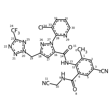 Cc1cc(C#N)cc(C(=O)NCC#N)c1NC(=O)c1cc(Cn2nnc(C(F)(F)F)n2)nn1-c1ncccc1Cl